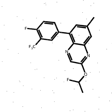 Cc1cc(-c2ccc(F)c(C(F)(F)F)c2)c2ncc(OC(C)F)nc2c1